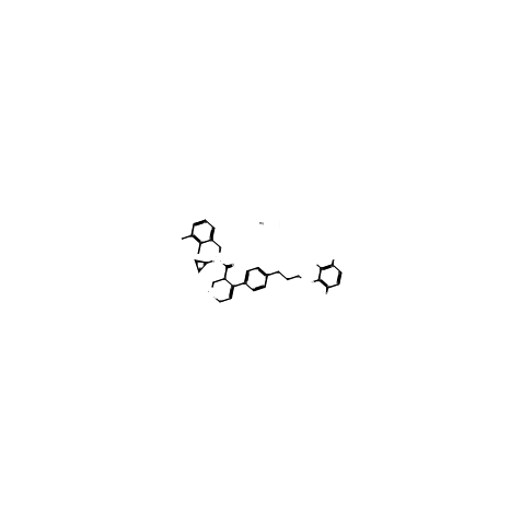 Cc1cccc(CN(C(=O)C2CNCC=C2c2ccc(CCCOc3c(F)ccc(F)c3F)cc2)C2CC2)c1C.O=CO